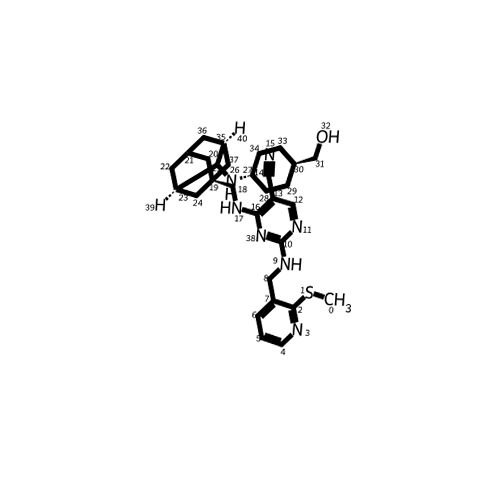 CSc1ncccc1CNc1ncc(C#N)c(NC[C@]23CC4C[C@H](C2)C(N[C@H]2CC[C@H](CO)CC2)[C@@H](C4)C3)n1